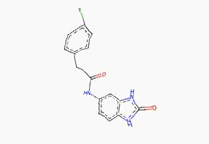 O=C(Cc1ccc(F)cc1)Nc1ccc2[nH]c(=O)[nH]c2c1